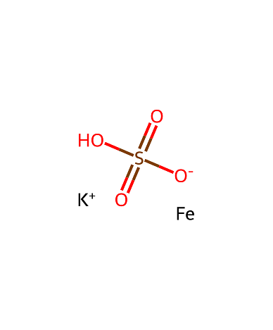 O=S(=O)([O-])O.[Fe].[K+]